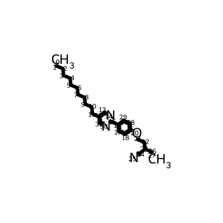 CCCCCCCCCCCCc1cnc(-c2ccc(OCCC(C#N)CC)cc2)nc1